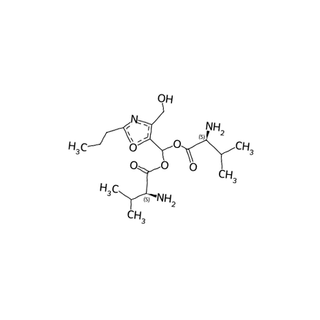 CCCc1nc(CO)c(C(OC(=O)[C@@H](N)C(C)C)OC(=O)[C@@H](N)C(C)C)o1